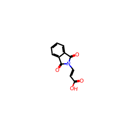 O=C(O)C=CN1C(=O)c2ccccc2C1=O